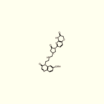 COc1ccc2ncc(=O)n(CCNC[C@H]3CC(=O)N(c4ccc5c(n4)NC(=O)CO5)C3)c2c1